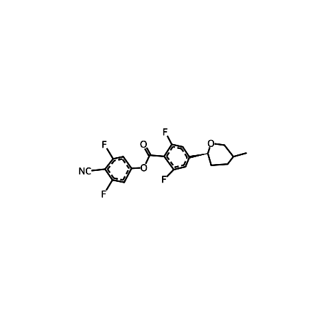 CC1CC[C@@H](c2cc(F)c(C(=O)Oc3cc(F)c(C#N)c(F)c3)c(F)c2)OC1